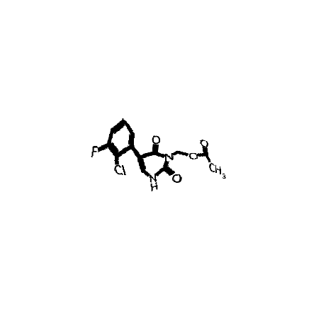 CC(=O)OCn1c(=O)[nH]cc(-c2cccc(F)c2Cl)c1=O